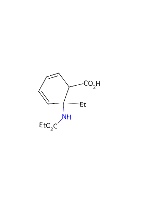 CCOC(=O)NC1(CC)C=CC=CC1C(=O)O